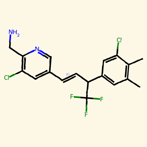 Cc1cc(C(/C=C/c2cnc(CN)c(Cl)c2)C(F)(F)F)cc(Cl)c1C